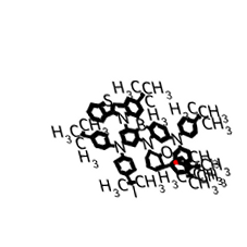 CC(C)(C)c1ccc(N(c2ccc(C(C)(C)C)cc2)c2ccc3c(c2)N(C2C=CC=C4c5ccc(C(C)(C)C)cc5OC42)c2cc(N(c4ccc(C(C)(C)C)cc4)c4ccc(C(C)(C)I)cc4)cc4c2B3c2cc(C(C)(C)C)cc3c5sc6ccccc6c5n-4c23)cc1